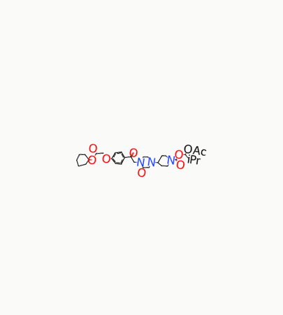 CC(=O)OC(OC(=O)N1CCC(N2CCN(CC(=O)c3ccc(OCC(=O)OC4CCCCC4)cc3)C(=O)C2)CC1)C(C)C